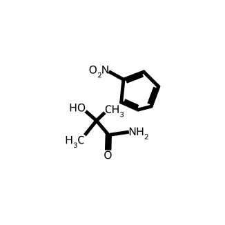 CC(C)(O)C(N)=O.O=[N+]([O-])c1ccccc1